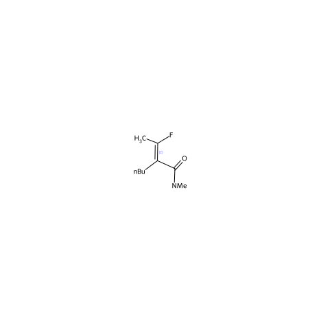 CCCC/C(C(=O)NC)=C(\C)F